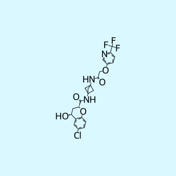 O=C(COc1ccc(C(F)(F)F)nc1)NC12CC(NC(=O)[C@@H]3C[C@H](O)c4cc(Cl)ccc4O3)(C1)C2